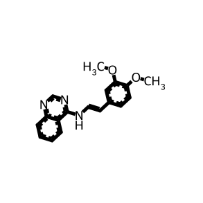 COc1ccc(C=CNc2ncnc3ccccc23)cc1OC